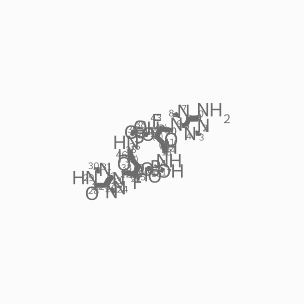 Nc1ncnc2c1ncn2[C@@H]1O[C@@H]2CNP(=O)(O)O[C@H]3[C@@H](F)[C@H](n4nnc5c(=O)[nH]cnc54)O[C@@H]3CNS(=O)(=O)O[C@H]2[C@H]1F